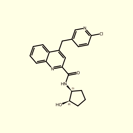 O=C(N[C@H]1CCC[C@H]1O)c1cc(Cc2ccc(Cl)nc2)c2ccccc2n1